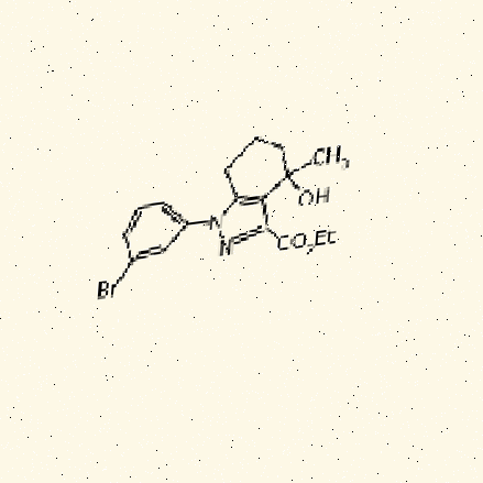 CCOC(=O)c1nn(-c2cccc(Br)c2)c2c1C(C)(O)CCC2